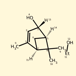 CC1=C[C@H](O)[C@@H]2C[C@H]1C2(C)C.CCO